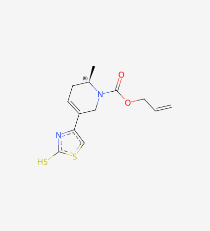 C=CCOC(=O)N1CC(c2csc(S)n2)=CC[C@H]1C